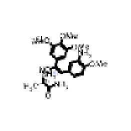 COc1ccc(/C=C(/C#N)c2cc(OC)c(OC)c(OC)c2)cc1N.C[C@H](N)C(N)=O.Cl